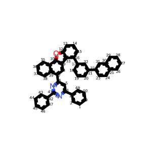 c1ccc(-c2cc(-c3cc4c(oc5cccc(-c6cccc(-c7ccc8ccccc8c7)c6)c54)c4ccccc34)nc(-c3ccccc3)n2)cc1